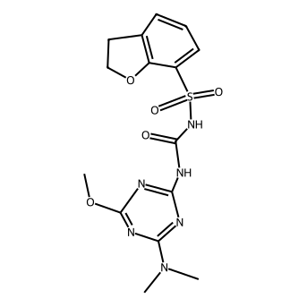 COc1nc(NC(=O)NS(=O)(=O)c2cccc3c2OCC3)nc(N(C)C)n1